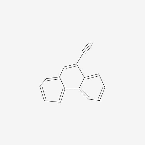 [C]#Cc1cc2ccccc2c2ccccc12